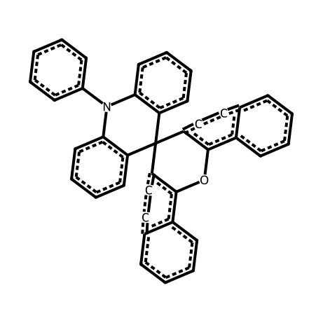 c1ccc(N2c3ccccc3C3(c4ccccc42)c2ccc4ccccc4c2Oc2c3ccc3ccccc23)cc1